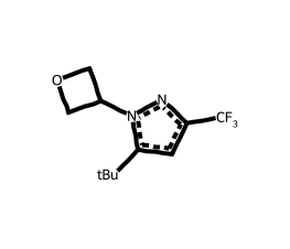 CC(C)(C)c1cc(C(F)(F)F)nn1C1COC1